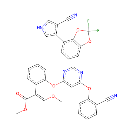 CO/C=C(/C(=O)OC)c1ccccc1Oc1cc(Oc2ccccc2C#N)ncn1.N#Cc1c[nH]cc1-c1cccc2c1OC(F)(F)O2